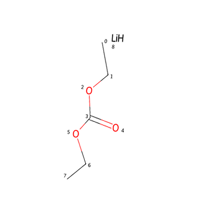 CCOC(=O)OCC.[LiH]